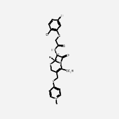 C[n+]1ccc(SCC2=C(C(=O)O)N3C(=O)[C@H](NC(=O)CSc4cc(Cl)ccc4Cl)[C@H]3SC2)cc1